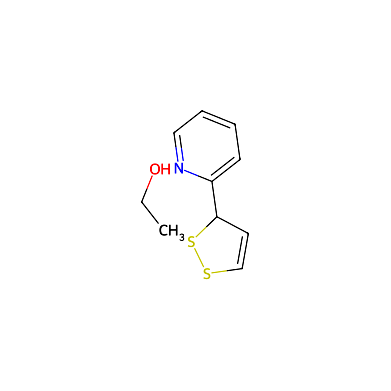 C1=CC(c2ccccn2)SS1.CCO